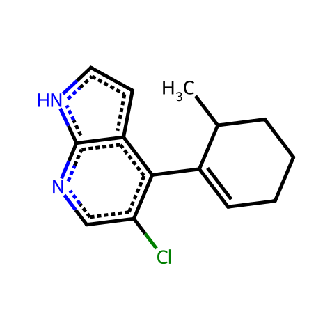 CC1CCCC=C1c1c(Cl)cnc2[nH]ccc12